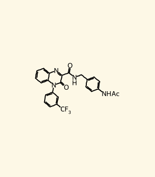 CC(=O)Nc1ccc(CNC(=O)c2nc3ccccc3n(-c3cccc(C(F)(F)F)c3)c2=O)cc1